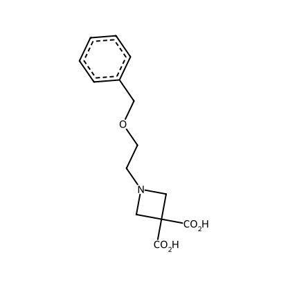 O=C(O)C1(C(=O)O)CN(CCOCc2ccccc2)C1